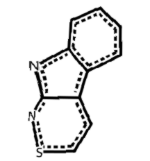 c1ccc2c3ccsnc-3nc2c1